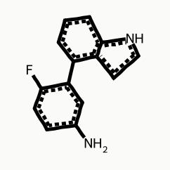 Nc1ccc(F)c(-c2cccc3[nH]ccc23)c1